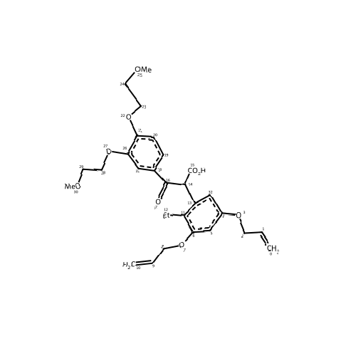 C=CCOc1cc(OCC=C)c(CC)c(C(C(=O)O)C(=O)c2ccc(OCCOC)c(OCCOC)c2)c1